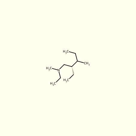 CCC(C)[C@H](CC)CN(C)CC